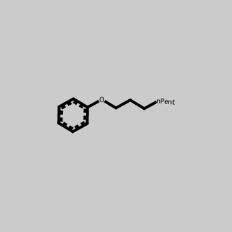 [CH2]CCCCCCCOc1c[c]ccc1